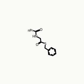 CCCC(=O)NCC(=O)SCc1ccccc1